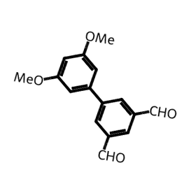 COc1cc(OC)cc(-c2cc(C=O)cc(C=O)c2)c1